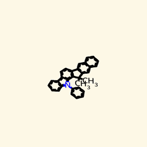 CC1(C)c2cc3ccccc3cc2-c2ccc3c4ccccc4n(-c4ccccc4)c3c21